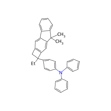 CCC1(c2ccc(N(c3ccccc3)c3ccccc3)cc2)Cc2cc3c(cc21)C(C)(C)c1ccccc1-3